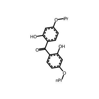 CCCOc1ccc(C(=O)c2ccc(OC(C)C)cc2O)c(O)c1